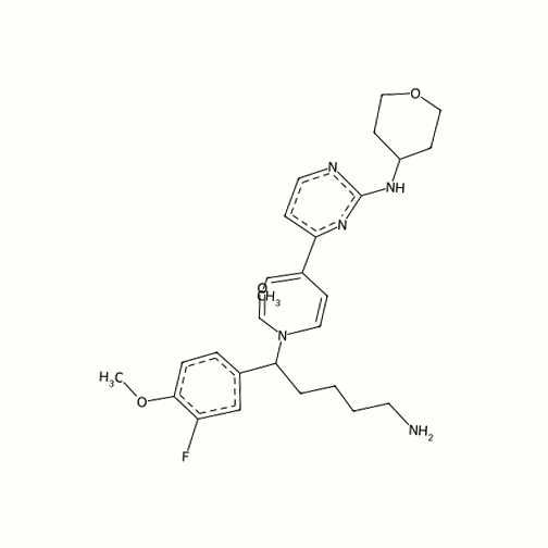 C/C=C(\C=C/N(C=O)C(CCCCN)c1ccc(OC)c(F)c1)c1ccnc(NC2CCOCC2)n1